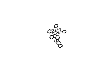 c1ccc(-c2nc(-c3ccccc3)nc(-c3c(-n4ccc5ccccc54)c4ccccc4c4c3ccc3c5cc6ccccc6cc5oc34)n2)cc1